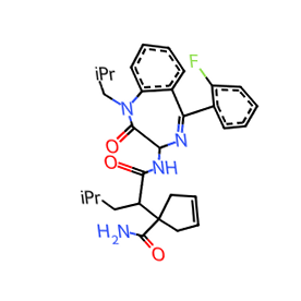 CC(C)CC(C(=O)NC1N=C(c2ccccc2F)c2ccccc2N(CC(C)C)C1=O)C1(C(N)=O)CC=CC1